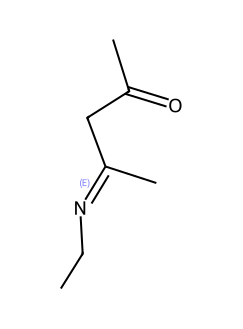 CC/N=C(\C)CC(C)=O